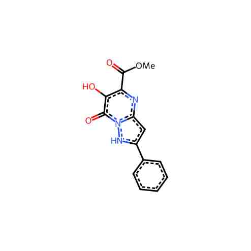 COC(=O)c1nc2cc(-c3ccccc3)[nH]n2c(=O)c1O